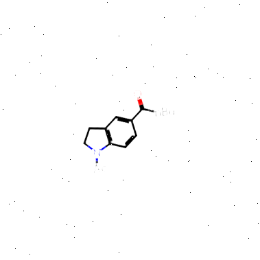 [CH2]CCCC(=O)c1ccc2c(c1)CCN2C(C)=O